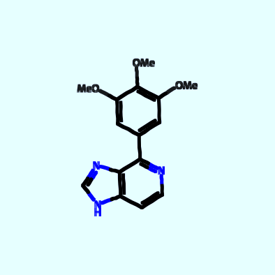 COc1cc(-c2nccc3[nH]cnc23)cc(OC)c1OC